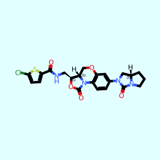 O=C(NC[C@@H]1OC(=O)N2c3ccc(N4C[C@@H]5CCCN5C4=O)cc3OC[C@@H]12)c1ccc(Cl)s1